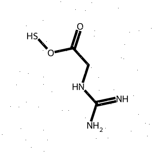 N=C(N)NCC(=O)OS